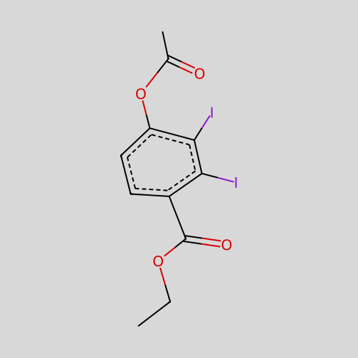 CCOC(=O)c1ccc(OC(C)=O)c(I)c1I